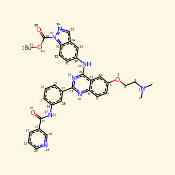 CN(C)CCOc1ccc2nc(-c3cccc(NC(=O)c4cccnc4)c3)nc(Nc3ccc4c(cnn4C(=O)OC(C)(C)C)c3)c2c1